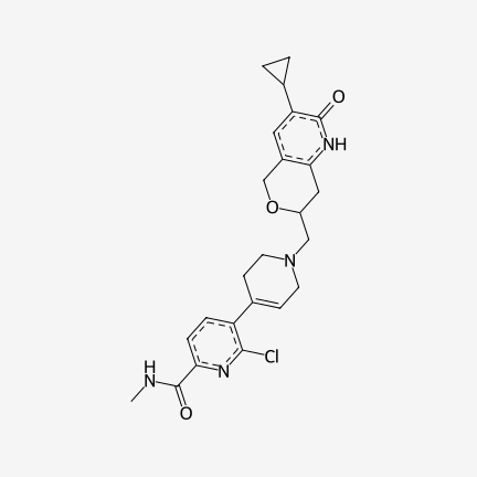 CNC(=O)c1ccc(C2=CCN(CC3Cc4[nH]c(=O)c(C5CC5)cc4CO3)CC2)c(Cl)n1